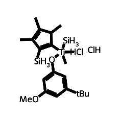 COc1cc([O][Ti]([CH3])([CH3])([SiH3])[C]2=C([SiH3])C(C)=C(C)C2C)cc(C(C)(C)C)c1.Cl.Cl